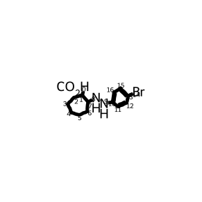 O=C(O)C1CCCCCC1NNc1ccc(Br)cc1